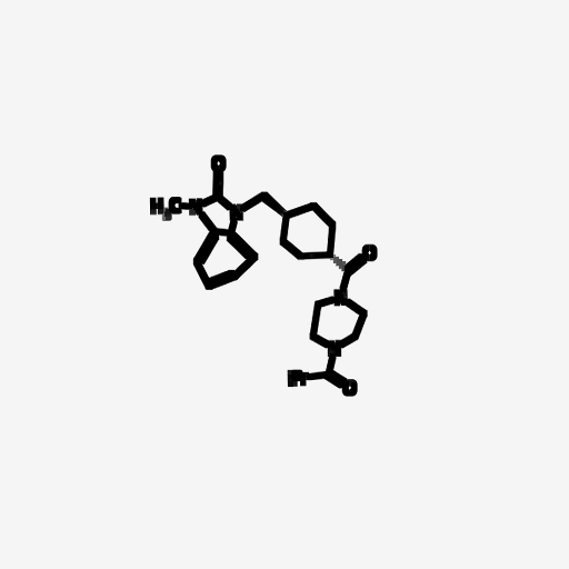 CC(C)C(=O)N1CCN(C(=O)[C@H]2CC[C@H](Cn3c(=O)n(C)c4ccccc43)CC2)CC1